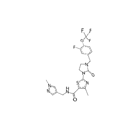 Cc1nc(N2CCN(Cc3ccc(OC(F)(F)F)c(F)c3)C2=O)sc1C(=O)NCc1cnn(C)c1